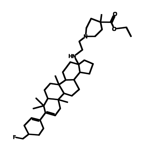 CCOC(=O)C1(C)CCN(CCNC23CCCC2C2CCC4C(C)(CCC5C(C)(C)C(C6=CCC(CF)CC6)=CCC54C)C2CC3)CC1